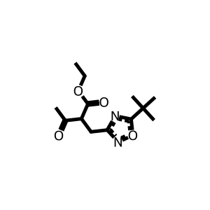 CCOC(=O)C(Cc1noc(C(C)(C)C)n1)C(C)=O